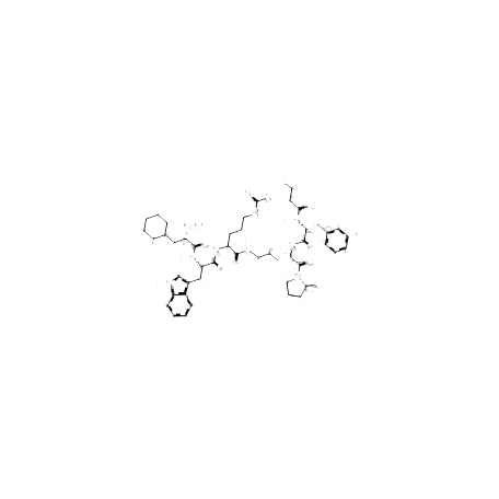 CN[C@H](CC1CCCCC1)C(=O)NC(Cc1c[nH]c2ccccc12)C(=O)NC(CCCNC(=N)N)C(=O)NCCC[C@H](NC(=O)[C@H](Cc1ccccc1)NC(=O)CCC(=O)O)C(=O)N1CCCC1C=O